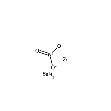 O=[N+]([O-])[O-].[BaH2].[Zr]